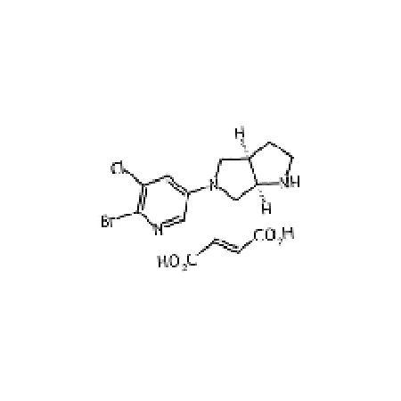 Clc1cc(N2C[C@H]3CCN[C@H]3C2)cnc1Br.O=C(O)/C=C/C(=O)O